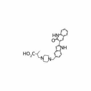 CC(CN1CCN(Cc2ccc3[nH]c(-c4cc5ccccc5[nH]c4=O)cc3c2)CC1)C(=O)O